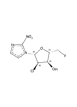 O=[N+]([O-])c1nccn1[C@@H]1O[C@H](CF)[C@@H](O)[C@H]1Cl